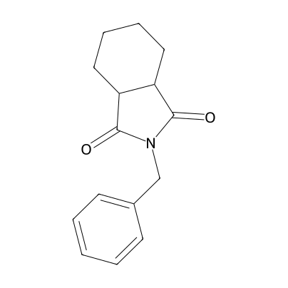 O=C1C2CCCCC2C(=O)N1Cc1ccccc1